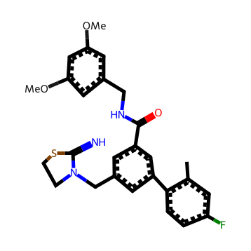 COc1cc(CNC(=O)c2cc(CN3CCSC3=N)cc(-c3ccc(F)cc3C)c2)cc(OC)c1